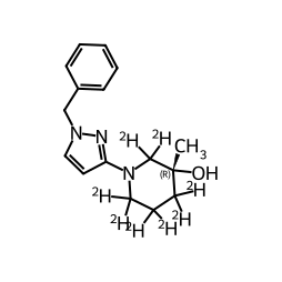 [2H]C1([2H])N(c2ccn(Cc3ccccc3)n2)C([2H])([2H])[C@](C)(O)C([2H])([2H])C1([2H])[2H]